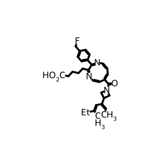 C/C=C(\C=C(/C)CC)C1CN(C(=O)c2cccnc(-c3ccc(CF)cc3)c(CCCCC(=O)O)ncc2)C1